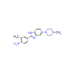 Cc1cc(-c2nc3cc(N4CCN(C)CC4)ccc3[nH]2)ccc1N